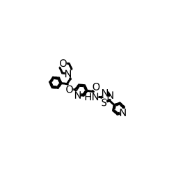 O=C(Nc1nnc(-c2ccncc2)s1)c1ccc(OC(CN2CCOCC2)c2ccccc2)nc1